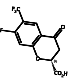 O=C1C[C@H](C(=O)O)Oc2cc(F)c(C(F)(F)F)cc21